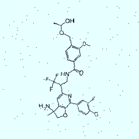 COc1cc(C(=O)NCC(c2cc3c(c(-c4ccc(Cl)c(F)c4)n2)OCC3(C)N)C(F)(F)F)ccc1CO[C@@H](C)O